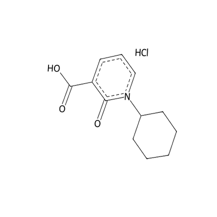 Cl.O=C(O)c1cccn(C2CCCCC2)c1=O